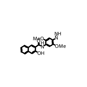 COc1cc(NC(=O)c2cc3ccccc3cc2O)c(OC)cc1N=N